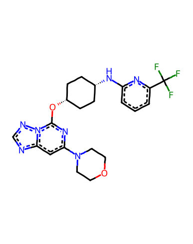 FC(F)(F)c1cccc(N[C@H]2CC[C@@H](Oc3nc(N4CCOCC4)cc4ncnn34)CC2)n1